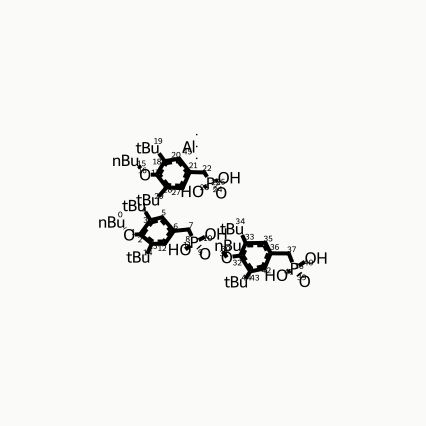 CCCCOc1c(C(C)(C)C)cc(CP(=O)(O)O)cc1C(C)(C)C.CCCCOc1c(C(C)(C)C)cc(CP(=O)(O)O)cc1C(C)(C)C.CCCCOc1c(C(C)(C)C)cc(CP(=O)(O)O)cc1C(C)(C)C.[Al]